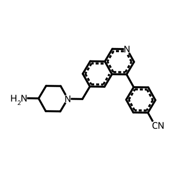 N#Cc1ccc(-c2cncc3ccc(CN4CCC(N)CC4)cc23)cc1